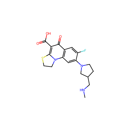 CNCC1CCN(c2cc3c(cc2F)c(=O)c(C(=O)O)c2n3CCS2)C1